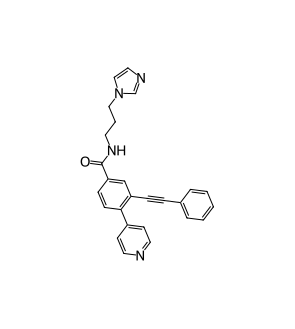 O=C(NCCCn1ccnc1)c1ccc(-c2ccncc2)c(C#Cc2ccccc2)c1